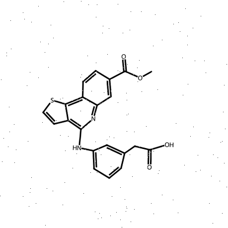 COC(=O)c1ccc2c(c1)nc(Nc1cccc(CC(=O)O)c1)c1ccsc12